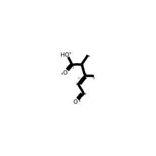 C/C(=C\C=O)C(C)C(=O)O